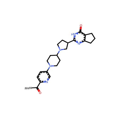 CNC(=O)c1ccc(N2CCC(N3CCC(c4nc5c(c(=O)[nH]4)CCC5)C3)CC2)cn1